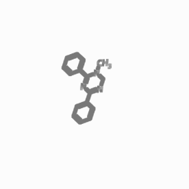 CN1CN=C(c2ccccc2)N=C1c1ccccc1